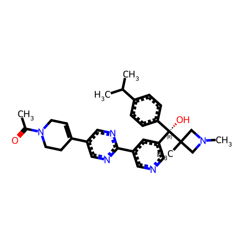 CC(=O)N1CC=C(c2cnc(-c3cncc([C@@](O)(c4ccc(C(C)C)cc4)C4(C)CN(C)C4)c3)nc2)CC1